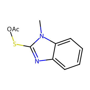 CC(=O)OSc1nc2ccccc2n1C